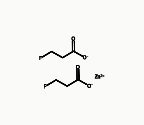 O=C([O-])CCF.O=C([O-])CCF.[Zn+2]